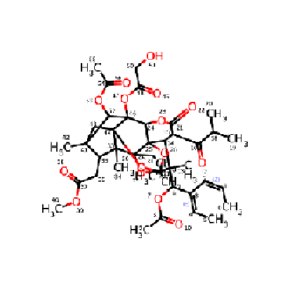 C/C=C\C(=C/C)C(OC(C)=O)C(C)(C)C1C(C(=O)C(C)C)C(=O)OC2C13OC1(C)OC3(CC)C3(C)C(CC(=O)OC)C4(C)CC3(O1)C2(OC(=O)CO)C4OC(C)=O